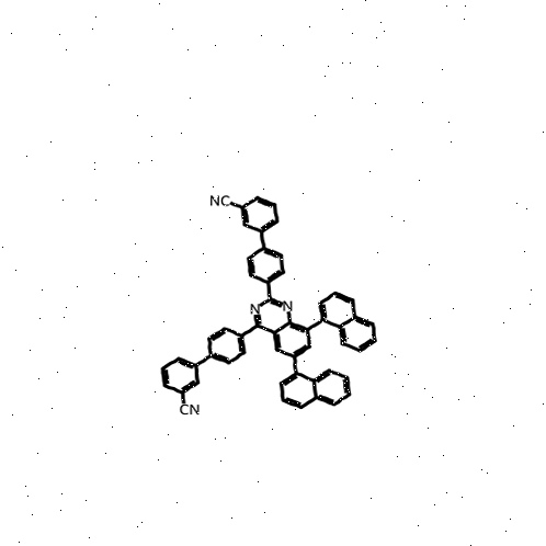 N#Cc1cccc(-c2ccc(-c3nc(-c4ccc(-c5cccc(C#N)c5)cc4)c4cc(-c5cccc6ccccc56)cc(-c5cccc6ccccc56)c4n3)cc2)c1